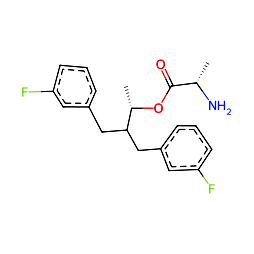 C[C@H](N)C(=O)O[C@@H](C)C(Cc1cccc(F)c1)Cc1cccc(F)c1